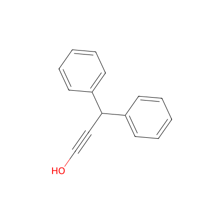 OC#CC(c1ccccc1)c1ccccc1